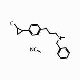 CC#N.CN(CCCc1ccc(C2CC2Cl)cc1)Cc1ccccc1